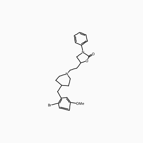 COc1ccc(Br)c(CC2CCN(CCC3CN(c4ccccc4)C(=O)O3)CC2)c1